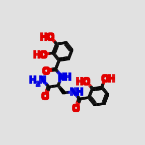 NC(=O)[C@H](CNC(=O)c1cccc(O)c1O)NC(=O)c1cccc(O)c1O